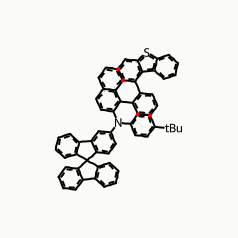 CC(C)(C)c1ccc(N(c2ccc3c(c2)-c2ccccc2C32c3ccccc3-c3ccccc32)c2ccc3ccccc3c2-c2ccccc2-c2cccc3sc4ccccc4c23)cc1